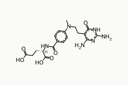 CN(CCc1c(N)nc(N)[nH]c1=O)c1ccc(C(=O)N[C@@H](CCC(=O)O)C(=O)O)cc1